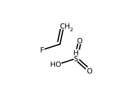 C=CF.O=[SH](=O)O